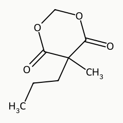 CCCC1(C)C(=O)OCOC1=O